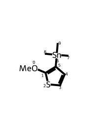 COc1scc[c]1[Sn]([CH3])([CH3])[CH3]